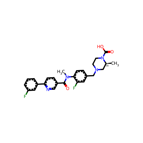 C[C@H]1CN(Cc2ccc(N(C)C(=O)c3ccc(-c4cccc(F)c4)nc3)c(F)c2)CCN1C(=O)O